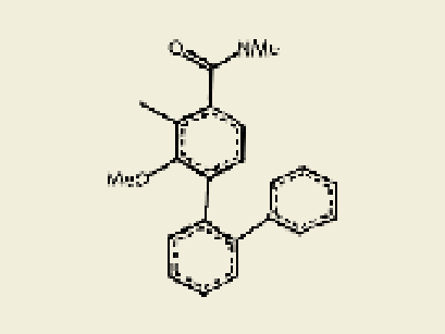 CNC(=O)c1ccc(-c2ccccc2-c2ccccc2)c(OC)c1C